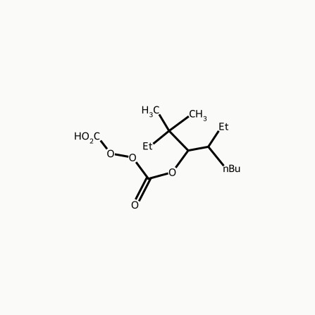 CCCCC(CC)C(OC(=O)OOC(=O)O)C(C)(C)CC